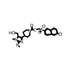 C/N=c1\sc(C2CCN(C(=O)CCS(=O)(=O)c3ccc4cc(Cl)ccc4c3)CC2)c(CO)n1C